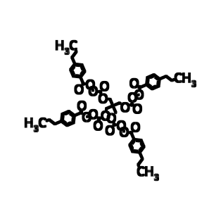 CCCc1ccc(C(=O)OOC(=O)OCC(COC(=O)OOC(=O)c2ccc(CCC)cc2)(COC(=O)OOC(=O)c2ccc(CCC)cc2)COC(=O)OOC(=O)c2ccc(CCC)cc2)cc1